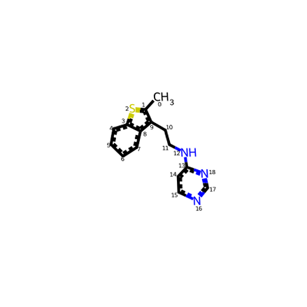 Cc1sc2ccccc2c1CCNc1ccncn1